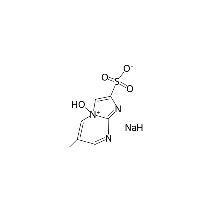 CC1=C[N+]2(O)C=C(S(=O)(=O)[O-])N=C2N=C1.[NaH]